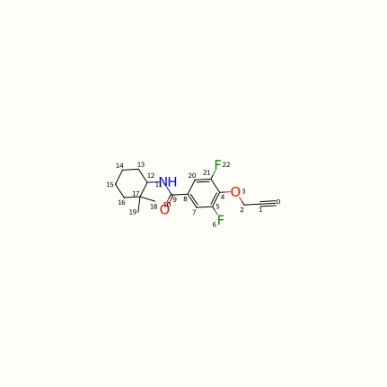 C#CCOc1c(F)cc(C(=O)NC2CCCCC2(C)C)cc1F